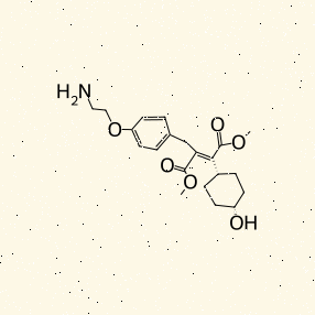 COC(=O)C(Cc1ccc(OCCN)cc1)=C(C(=O)OC)[C@H]1CC[C@@H](O)CC1